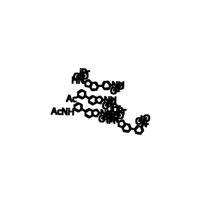 CC(=O)Nc1cccc(-c2ccc3c(c2)CC(NS(=O)(=O)C(C)C)C3)c1.CC(=O)c1cccc(-c2ccc3c(c2)CC(NS(=O)(=O)C(C)C)C3)c1.CC(C)S(=O)(=O)NC1Cc2ccc(-c3ccc(NS(C)(=O)=O)cc3)cc2C1.CC(C)S(=O)(=O)NC1Cc2ccc(-c3cccc(N(C)S(C)(=O)=O)c3)cc2C1